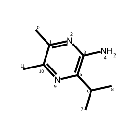 Cc1nc(N)c(C(C)C)nc1C